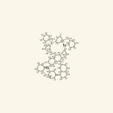 CC12c3ccc4c(c3)N(c3ccc5c(-c6ccc7ccccc7c6)c6cc(N7c8ccccc8Cc8ccccc87)ccc6c(c5c3)-c3ccc(c1c3)-c1ccccc12)c1ccccc1C4